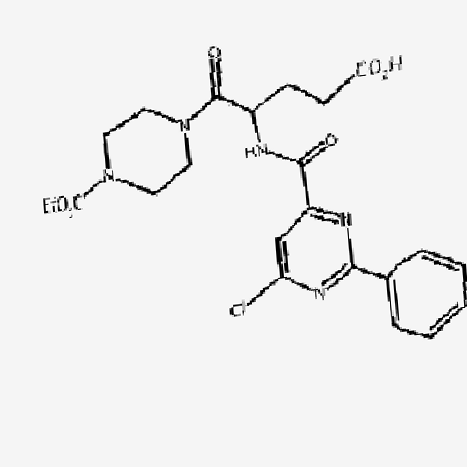 CCOC(=O)N1CCN(C(=O)C(CCC(=O)O)NC(=O)c2cc(Cl)nc(-c3ccccc3)n2)CC1